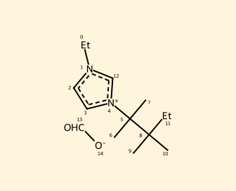 CCn1cc[n+](C(C)(C)C(C)(C)CC)c1.O=C[O-]